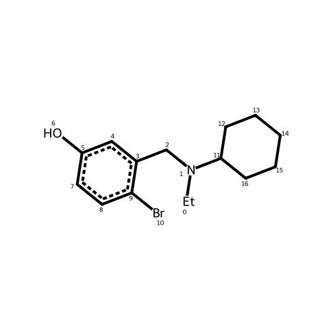 CCN(Cc1cc(O)ccc1Br)C1CCCCC1